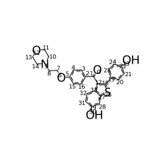 O=C(c1ccc(OCCN2CCOCC2)cc1)c1c(-c2ccc(O)cc2)sc2cc(O)ccc12